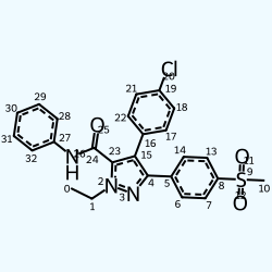 CCn1nc(-c2ccc(S(C)(=O)=O)cc2)c(-c2ccc(Cl)cc2)c1C(=O)Nc1ccccc1